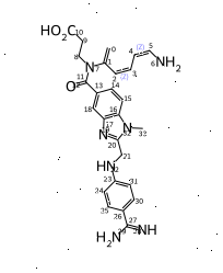 C=C(/C=C\C=C/N)N(CCC(=O)O)C(=O)c1ccc2c(c1)nc(CNc1ccc(C(=N)N)cc1)n2C